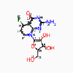 Nc1nc2n(C3=C(O)C(O)C(CO)O3)ccc(F)c-2c(=O)n1